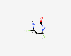 O=c1nc(F)cc(F)[nH]1